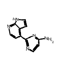 Nc1ccnc(-c2ccnc3[nH]ccc23)n1